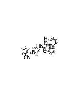 N#Cc1ccccc1CN1CC2C(C1)C2NC(=O)C(O)(c1ccccc1)C1CCCC1